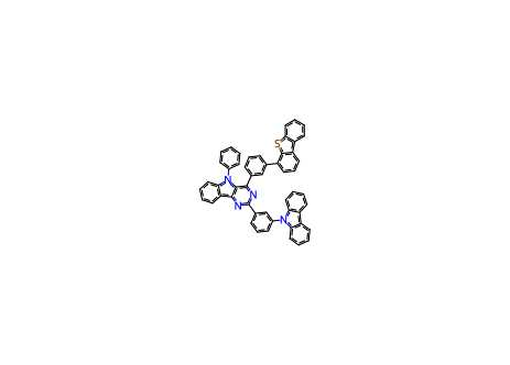 c1ccc(-n2c3ccccc3c3nc(-c4cccc(-n5c6ccccc6c6ccccc65)c4)nc(-c4cccc(-c5cccc6c5sc5ccccc56)c4)c32)cc1